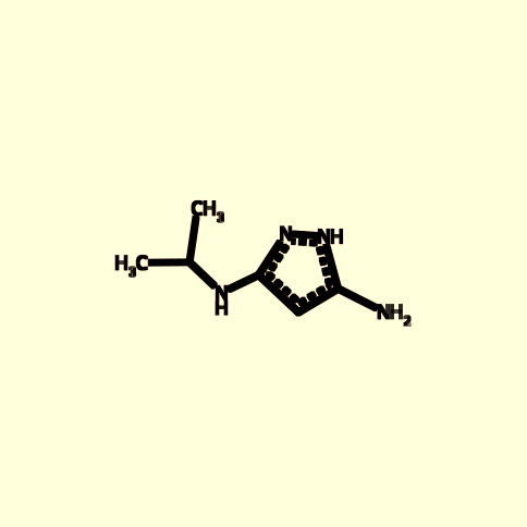 CC(C)Nc1cc(N)[nH]n1